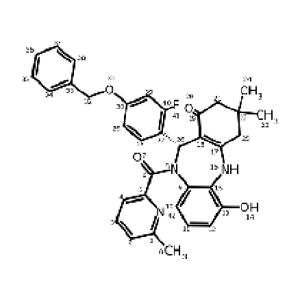 Cc1cccc(C(=O)N2c3cccc(O)c3NC3=C(C(=O)CC(C)(C)C3)[C@H]2c2ccc(OCc3ccccc3)cc2F)n1